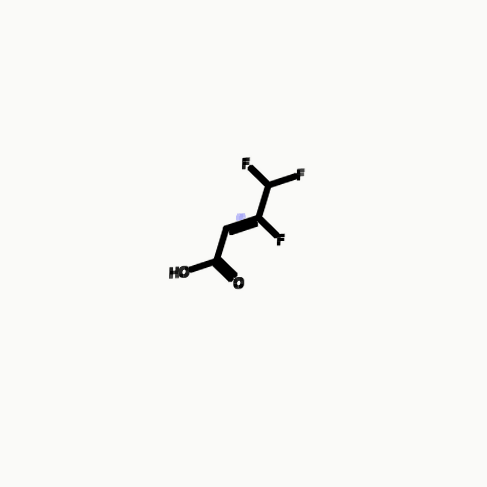 O=C(O)/C=C(\F)C(F)F